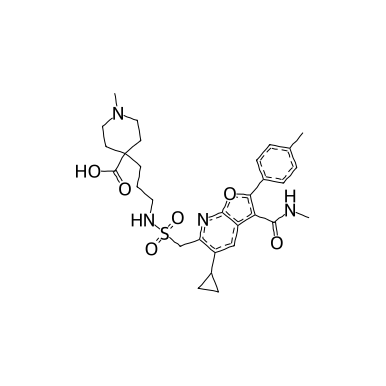 CNC(=O)c1c(-c2ccc(C)cc2)oc2nc(CS(=O)(=O)NCCCC3(C(=O)O)CCN(C)CC3)c(C3CC3)cc12